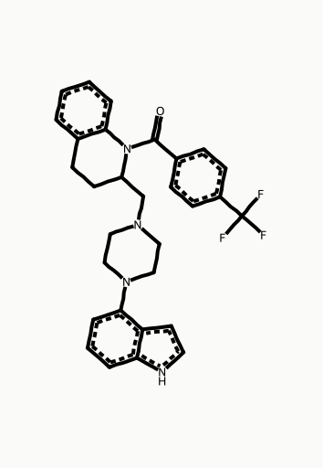 O=C(c1ccc(C(F)(F)F)cc1)N1c2ccccc2CCC1CN1CCN(c2cccc3[nH]ccc23)CC1